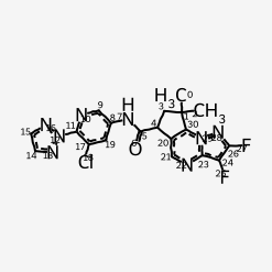 CC1(C)CC(C(=O)Nc2cnc(-n3nccn3)c(Cl)c2)c2cnc3c(F)c(F)nn3c21